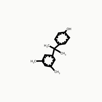 Cc1cc(C)cc(C(C)(C)c2ccc(O)cc2)c1